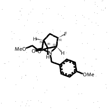 COCO[C@H]1[C@H]2[C@@H](F)C[C@@H]1C(=O)N2Cc1ccc(OC)cc1